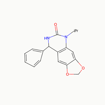 CC(C)N1C(=O)NC(c2ccccc2)c2cc3c(cc21)OCO3